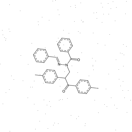 Cc1ccc(C(=O)C(CN(N=Cc2ccccc2)C(=O)c2ccccc2)c2ccc(C)cc2)cc1